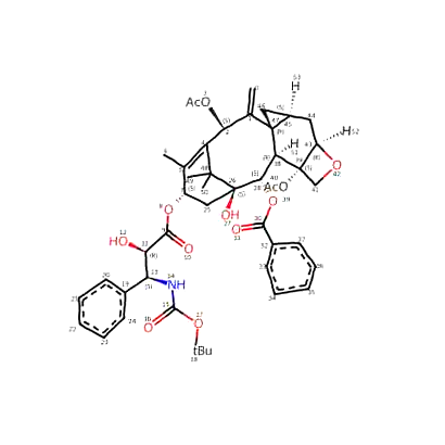 C=C1[C@H](OC(C)=O)C2=C(C)[C@@H](OC(=O)[C@H](O)[C@@H](NC(=O)OC(C)(C)C)c3ccccc3)C[C@@](O)([C@@H](OC(=O)c3ccccc3)[C@@H]3[C@]4(OC(C)=O)CO[C@@H]4C[C@@H]4C[C@@]143)C2(C)C